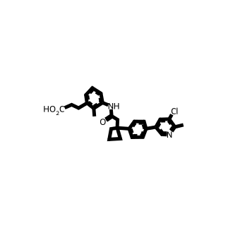 Cc1ncc(-c2ccc(C3(CC(=O)Nc4cccc(CCC(=O)O)c4C)CCC3)cc2)cc1Cl